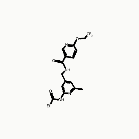 CCC(=O)Nc1cc(CNC(=O)c2ccc(OCC(F)(F)F)nc2)cc(C)n1